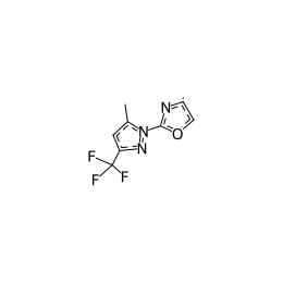 Cc1cc(C(F)(F)F)nn1-c1n[c]co1